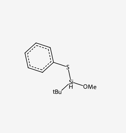 CO[SiH](Sc1ccccc1)C(C)(C)C